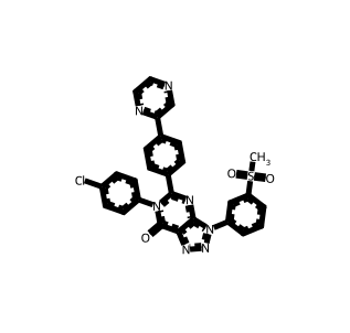 CS(=O)(=O)c1cccc(-n2nnc3c(=O)n(-c4ccc(Cl)cc4)c(-c4ccc(-c5cnccn5)cc4)nc32)c1